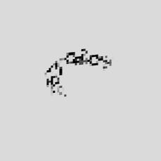 O=C(Nc1ccc(OC(F)F)cc1)c1ccc(CN2CCOc3nc([N+](=O)[O-])cn3CC2)cc1